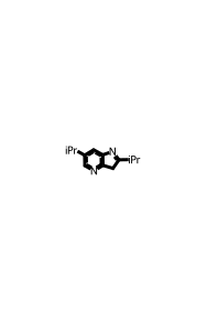 CC(C)C1=Nc2cc(C(C)C)cnc2C1